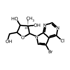 C[C@@]1(O)C(O)C(CO)OC1n1cc(Br)c2c(Cl)ncnc21